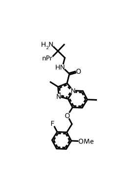 CCCC(C)(N)CNC(=O)c1c(C)nc2c(OCc3c(F)cccc3OC)cc(C)cn12